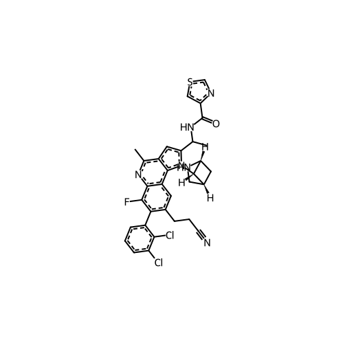 Cc1nc2c(F)c(-c3cccc(Cl)c3Cl)c(CCC#N)cc2c2c1cc(C(C)NC(=O)c1cscn1)n2[C@H]1[C@H]2CN[C@@H]1C2